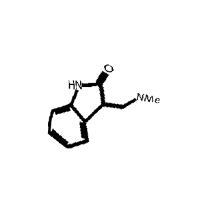 CNCC1C(=O)Nc2ccccc21